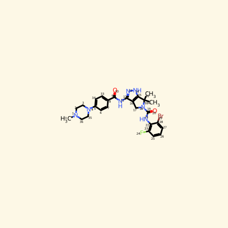 CN1CCN(c2ccc(C(=O)Nc3n[nH]c4c3CN(C(=O)Nc3c(F)cccc3Br)C4(C)C)cc2)CC1